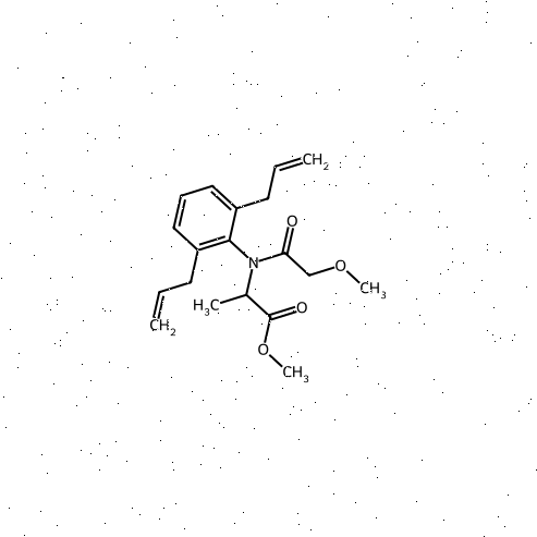 C=CCc1cccc(CC=C)c1N(C(=O)COC)C(C)C(=O)OC